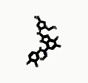 CO[C@@H]1CN(C)C[C@H]1Nc1nc2c(F)c(F)cc(/C(=N/O)Nc3ccc(F)c(Cl)c3)c2[nH]1